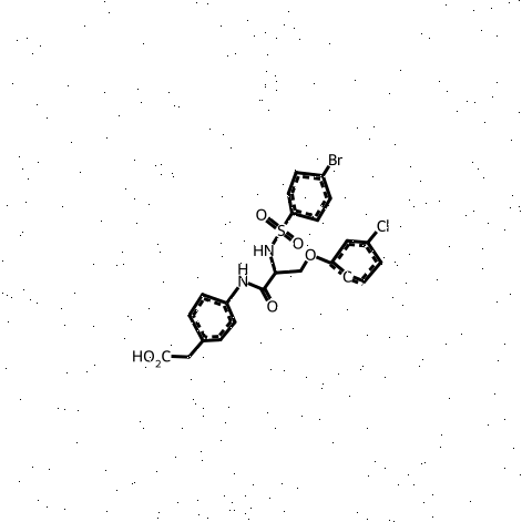 O=C(O)Cc1ccc(NC(=O)C(COc2cccc(Cl)c2)NS(=O)(=O)c2ccc(Br)cc2)cc1